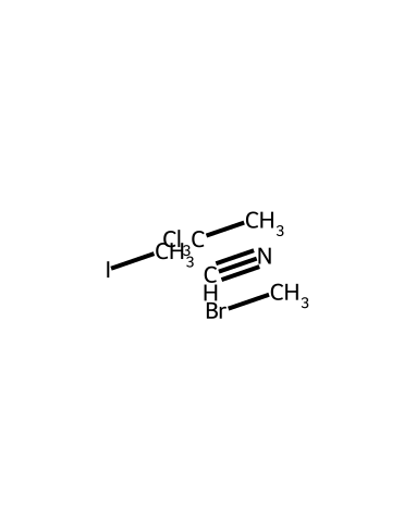 C#N.CBr.CC(Cl)(Cl)Cl.CI